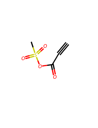 C#CC(=O)OS(C)(=O)=O